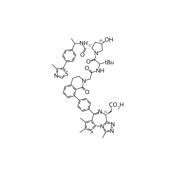 Cc1ncsc1-c1ccc(C(C)NC(=O)[C@@H]2C[C@@H](O)CN2C(=O)C(NC(=O)CN2CCc3cccc(-c4ccc(C5=N[C@@H](CC(=O)O)c6nnc(C)n6-c6sc(C)c(C)c65)cc4)c3C2=O)C(C)(C)C)cc1